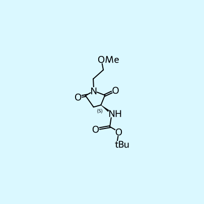 COCCN1C(=O)C[C@H](NC(=O)OC(C)(C)C)C1=O